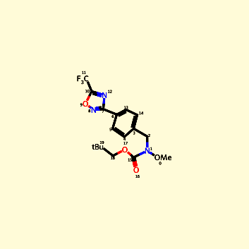 CON(Cc1ccc(-c2noc(C(F)(F)F)n2)cc1)C(=O)OCC(C)(C)C